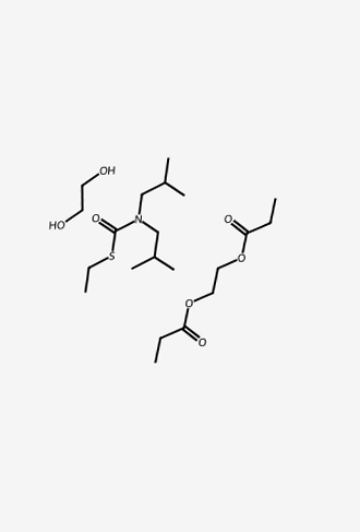 CCC(=O)OCCOC(=O)CC.CCSC(=O)N(CC(C)C)CC(C)C.OCCO